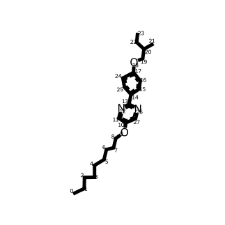 CCCCCCCCCOc1cnc(-c2ccc(OCC(C)CC)cc2)nc1